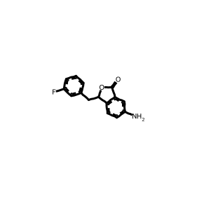 Nc1ccc2c(c1)C(=O)OC2Cc1cccc(F)c1